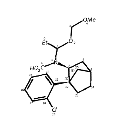 CCC(OCOC)N(C(=O)O)[C@H]1CC2CC[C@@]1(c1ccccc1Cl)C2